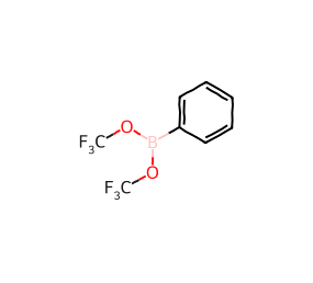 FC(F)(F)OB(OC(F)(F)F)c1ccccc1